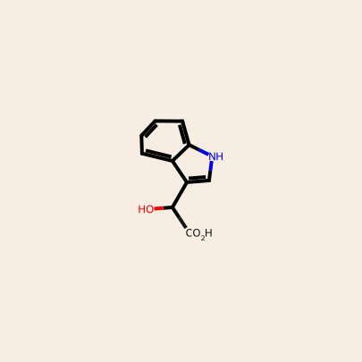 O=C(O)C(O)c1c[nH]c2ccccc12